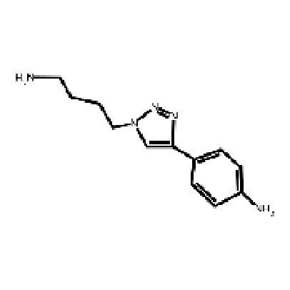 NCCCCn1cc(-c2ccc(N)cc2)nn1